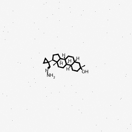 C[C@@]1(O)CC[C@H]2[C@H](CC[C@@H]3[C@@H]2CC[C@]2(C)[C@@H](C4(/C=N/N)CC4)CC[C@@H]32)C1